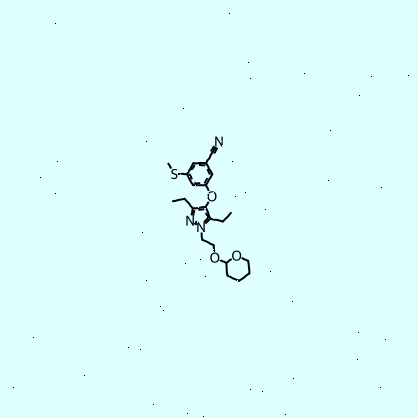 CCc1nn(CCOC2CCCCO2)c(CC)c1Oc1cc(C#N)cc(SC)c1